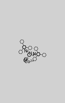 CC(=Nc1c(C2CCCCC2)cc(C2CCCCC2)cc1C1CCCCC1)c1cccc(C(C)=Nc2c(C3CCCCC3)cc(C3CCCCC3)cc2C2CCCCC2)n1.[Cl-].[Cl-].[Co+2]